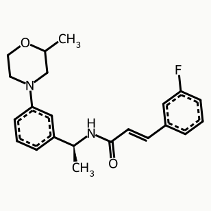 CC1CN(c2cccc([C@H](C)NC(=O)C=Cc3cccc(F)c3)c2)CCO1